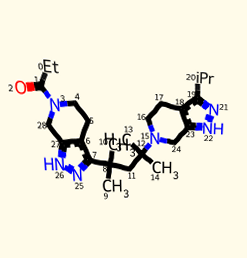 CCC(=O)N1CCc2c(C(C)(C)CC(C)(C)N3CCc4c(C(C)C)n[nH]c4C3)n[nH]c2C1